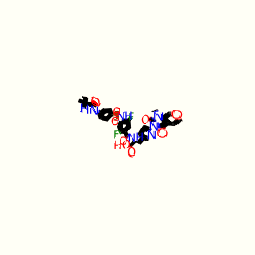 Cn1c2c(c(=O)n(-c3ccc(C[C@H](NC(=O)c4cc(F)c(NS(=O)(=O)c5ccc(NC(=O)C(C)(C)C)cc5)cc4F)C(=O)O)cn3)c1=O)CCOC2